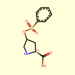 O=C(O)[C@@H]1CC(OS(=O)(=O)c2ccccc2)CN1